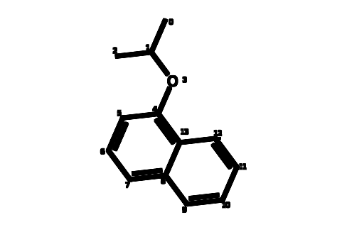 CC(C)Oc1cccc2ccc[c]c12